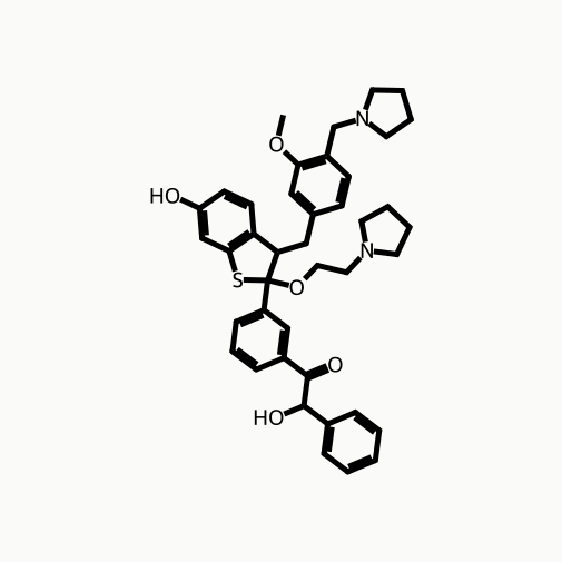 COc1cc(CC2c3ccc(O)cc3SC2(OCCN2CCCC2)c2cccc(C(=O)C(O)c3ccccc3)c2)ccc1CN1CCCC1